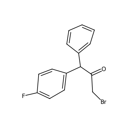 O=C(CBr)C(c1ccccc1)c1ccc(F)cc1